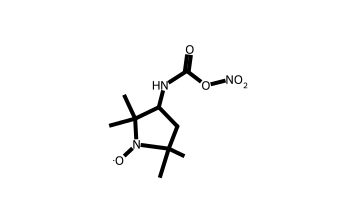 CC1(C)CC(NC(=O)O[N+](=O)[O-])C(C)(C)N1[O]